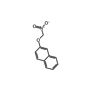 O=[N+]([O-])COc1ccc2ccccc2c1